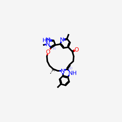 CN/C1=C(\C=N)c2cc(cc(C)n2)C(=O)CC/C=C2\Nc3ccc(C)cc3N2C[C@H](C)CCCO1